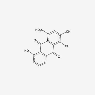 O=C1c2c(O)cccc2C(=O)c2c(O)c(O)cc(S(=O)(=O)O)c21